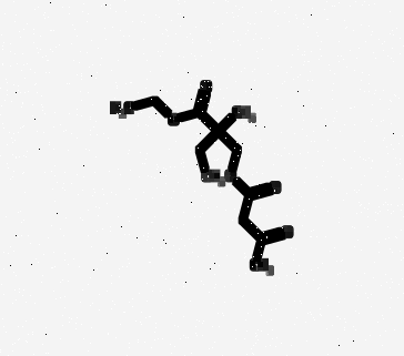 CCOC(=O)C(C)(CC)COC(=O)CC(C)=O